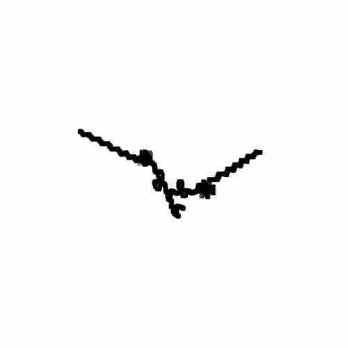 CCCCCCCCCCCCCCn1cc(CCOC(=O)CCN(CCCN(CC)CC)CCC(=O)OCCc2cn(CCCCCCCCCCCCCC)nn2)nn1